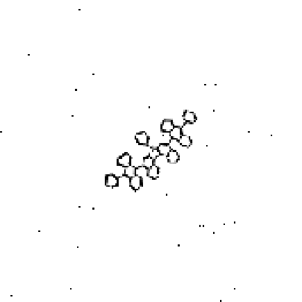 c1ccc(-c2c3ccccc3c(-c3cc4c(c5ccccc35)c3c5ccccc5c(-c5c6ccccc6c(-c6ccccc6)c6ccccc56)cc3n4-c3ccccc3)c3ccccc23)cc1